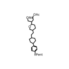 CCCCCc1ccc(C2CCC(CCC3CCC(C(CCOC(C)=O)COC)OC3)CC2)cc1